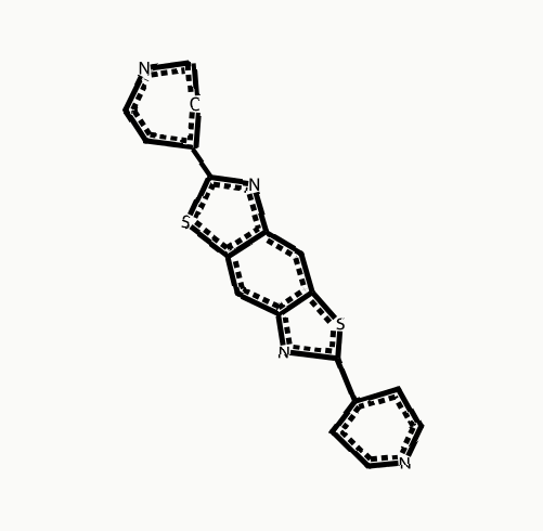 c1cc(-c2nc3cc4sc(-c5ccncc5)nc4cc3s2)ccn1